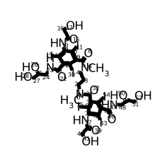 CN(CCCN(C)C(=O)c1c(I)c(NC(=O)CO)c(I)c(C(=O)NCC(O)CO)c1I)C(=O)c1c(I)c(NC(=O)CO)c(I)c(C(=O)NCC(O)CO)c1I